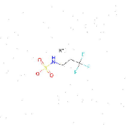 O=S(=O)([O-])NCCC(F)(F)F.[K+]